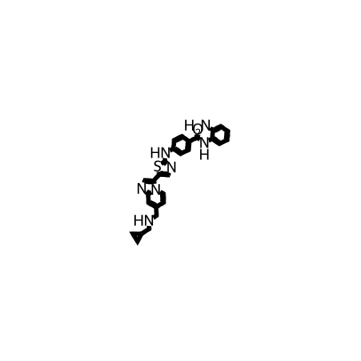 Nc1ccccc1NC(=O)c1ccc(Nc2ncc(-c3cnc4cc(CNCC5CC5)ccn34)s2)cc1